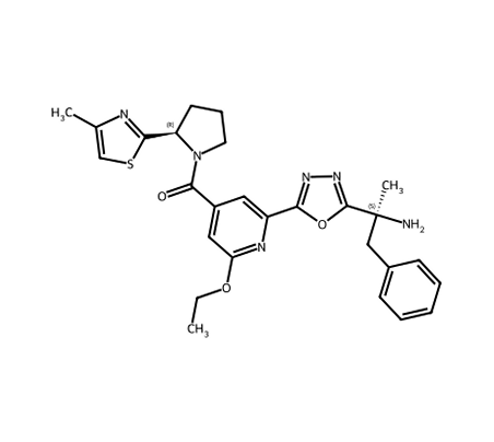 CCOc1cc(C(=O)N2CCC[C@@H]2c2nc(C)cs2)cc(-c2nnc([C@@](C)(N)Cc3ccccc3)o2)n1